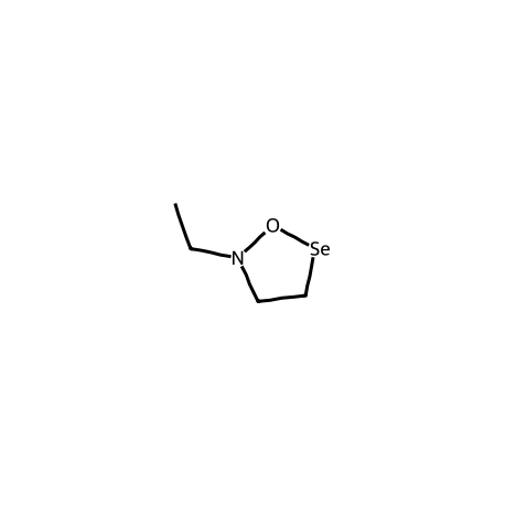 CCN1CC[Se]O1